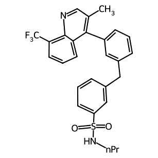 CCCNS(=O)(=O)c1cccc(Cc2cccc(-c3c(C)cnc4c(C(F)(F)F)cccc34)c2)c1